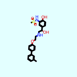 Cc1cccc(-c2ccc(OCCNC[C@H](O)c3ccc(O)c(NS(C)(=O)=O)c3)cc2)c1